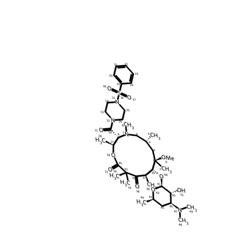 CO[C@]1(C)C[C@@H](C)CN(C)[C@@H](C(=O)N2CCN(S(=O)(=O)c3ccccc3)CC2)[C@H](C)OC(=O)C(C)(C)C(=O)[C@H](C)[C@H]1O[C@@H]1O[C@H](C)C[C@H](N(C)C)[C@H]1O